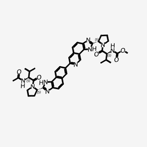 COC(=O)N[C@H](C(=O)N1CCC[C@H]1c1nc2ccc3cc(-c4ccc5c(ccc6nc([C@@H]7CCCN7C(=O)[C@@H](NC(C)=O)C(C)C)[nH]c65)c4)ncc3c2[nH]1)C(C)C